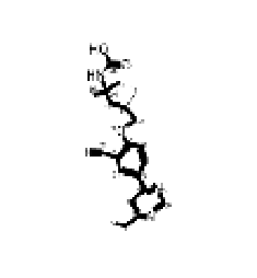 CCc1cc(-c2ccc(OC[C@@H](C)CC(C)(C)NC(=O)O)c(C#N)c2)ncn1